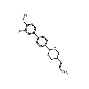 C/C=C/C1CCC(c2ccc(-c3ccc(OCC)c(F)c3)cc2)OC1